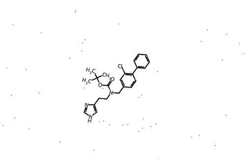 CC(C)(C)OC(=O)N(CCc1c[nH]cn1)Cc1ccc(-c2ccccc2)c(Cl)c1